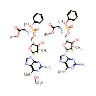 CNc1nc(N)nc2c1ncn2[C@@H]1O[C@H](CO[P@@](=O)(N[C@@H](C)C(=O)OC(C)C)Oc2ccccc2)[C@@H](O)[C@@]1(C)F.CNc1nc(N)nc2c1ncn2[C@@H]1O[C@H](CO[P@@](=O)(N[C@@H](C)C(=O)OC(C)C)Oc2ccccc2)[C@@H](O)[C@@]1(C)F.O=S(=O)(O)O